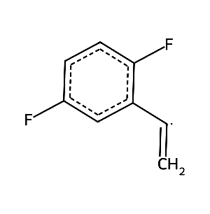 C=[C]c1cc(F)ccc1F